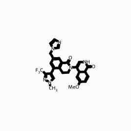 COC1=CC2C(N3CCc4c(cc(Cn5ccnc5)cc4-c4cn(C)nc4C(F)(F)F)C3=O)=CNC(=O)C2C=C1